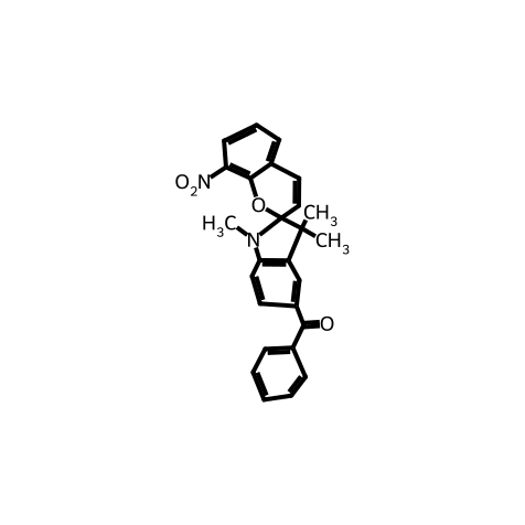 CN1c2ccc(C(=O)c3ccccc3)cc2C(C)(C)C12C=Cc1cccc([N+](=O)[O-])c1O2